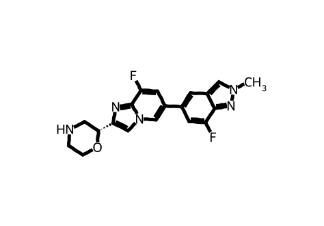 Cn1cc2cc(-c3cc(F)c4nc([C@H]5CNCCO5)cn4c3)cc(F)c2n1